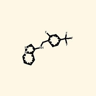 Fc1cc(C(F)(F)F)ccc1CNc1cnn2ccccc12